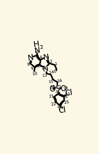 CCc1nc2c(N)ncc(C)c2n1CCCCS(=O)(=O)c1ccc(Cl)cc1Cl